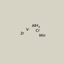 [AlH3].[Cr].[Mo].[V].[Zr]